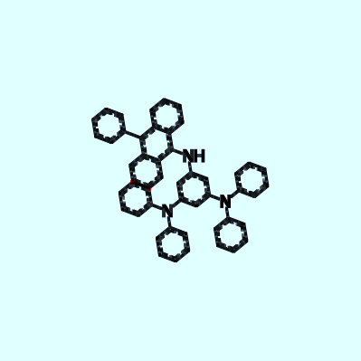 c1ccc(-c2c3ccccc3c(Nc3cc(N(c4ccccc4)c4ccccc4)cc(N(c4ccccc4)c4ccccc4)c3)c3ccccc23)cc1